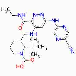 CCNC(=O)c1nnc(Nc2cnc(C#N)cn2)cc1NCC1CCCN(C(=O)O)C1C(C)(C)C